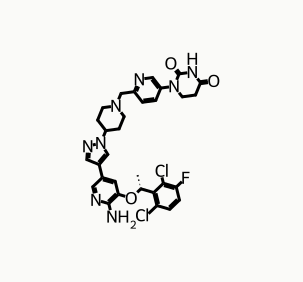 C[C@@H](Oc1cc(-c2cnn(C3CCN(Cc4ccc(N5CCC(=O)NC5=O)cn4)CC3)c2)cnc1N)c1c(Cl)ccc(F)c1Cl